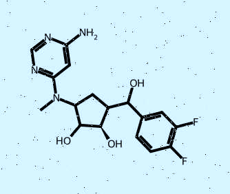 CN(c1cc(N)ncn1)C1CC(C(O)c2ccc(F)c(F)c2)[C@@H](O)C1O